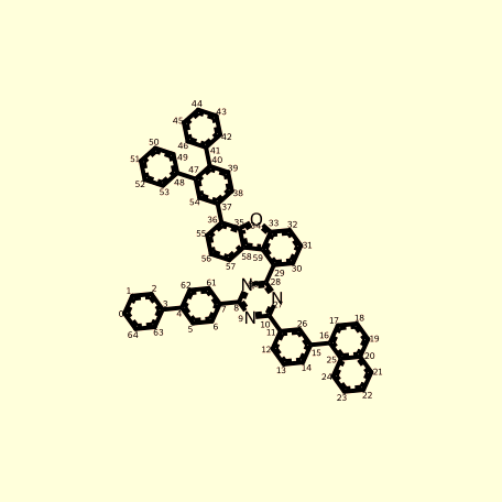 c1ccc(-c2ccc(-c3nc(-c4cccc(-c5cccc6ccccc56)c4)nc(-c4cccc5oc6c(-c7ccc(-c8ccccc8)c(-c8ccccc8)c7)cccc6c45)n3)cc2)cc1